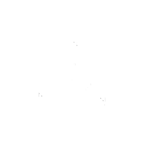 N#CC(=C=N)C#N